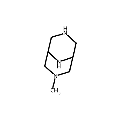 CN1CC2CNCC(C1)N2